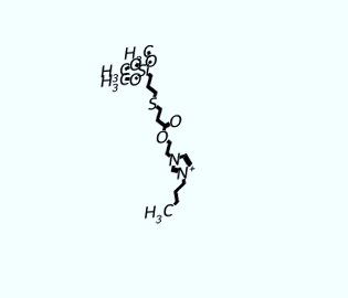 CCCC[n+]1ccn(CCOC(=O)CCSCCC[Si](OC)(OC)OC)c1